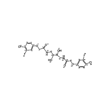 O=C(COc1ccc(Cl)c(F)c1)NCC(O)C(O)CNC(=O)COc1ccc(Cl)c(F)c1